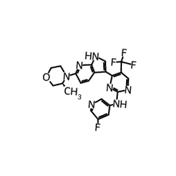 C[C@H]1COCCN1c1ccc2c(-c3nc(Nc4cncc(F)c4)ncc3C(F)(F)F)c[nH]c2n1